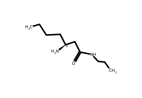 CCCC[C@H](N)CC(=O)NCCC